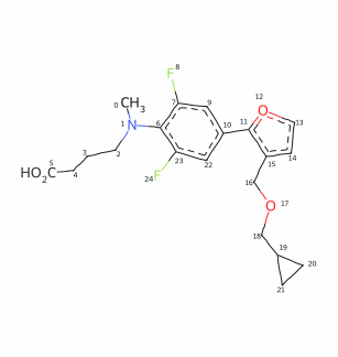 CN(CCCC(=O)O)c1c(F)cc(-c2occc2COCC2CC2)cc1F